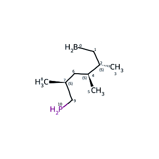 BC[C@H](C)[C@@H](C)C[C@H](C)CP